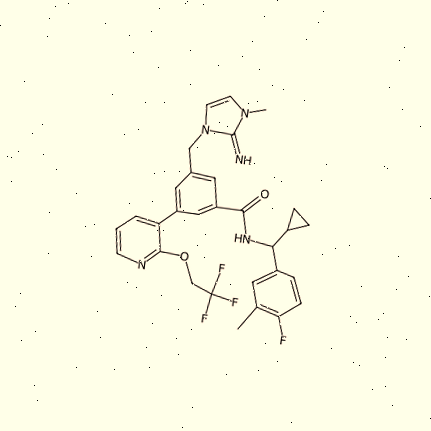 Cc1cc(C(NC(=O)c2cc(Cn3ccn(C)c3=N)cc(-c3cccnc3OCC(F)(F)F)c2)C2CC2)ccc1F